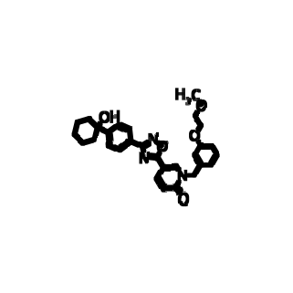 COCCOc1cccc(Cn2cc(-c3nc(-c4ccc(C5(O)CCCCC5)cc4)no3)ccc2=O)c1